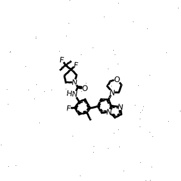 Cc1cc(F)c(NC(=O)N2CCC(F)(C(C)(C)F)C2)cc1-c1cc(N2CCOCC2)c2nccn2c1